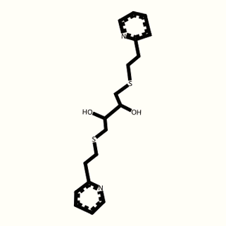 OC(CSCCc1ccccn1)C(O)CSCCc1ccccn1